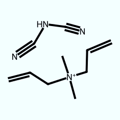 C=CC[N+](C)(C)CC=C.N#CNC#N